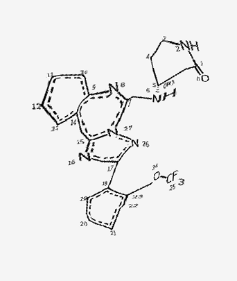 O=C1NCC[C@H]1Nc1nc2ccccc2c2nc(-c3ccccc3OC(F)(F)F)nn12